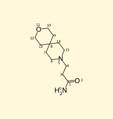 NC(=O)CCN1CCC2(CCOCC2)CC1